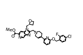 COC(=O)c1cc2c(cn1)nc(CN1CC=C(c3cccc(OCc4ccc(Cl)cc4F)n3)CC1)n2C[C@@H]1CCO1